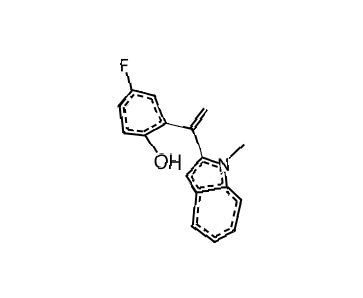 C=C(c1cc(F)ccc1O)c1cc2ccccc2n1C